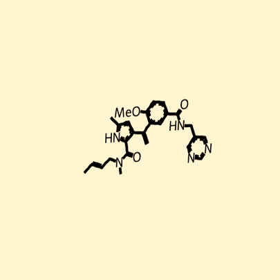 C=C(c1cc(C(=O)NCc2cncnc2)ccc1OC)c1cc(C)[nH]c1C(=O)N(C)C/C=C/C